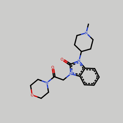 CN1CCC(n2c(=O)n(CC(=O)N3CCOCC3)c3ccccc32)CC1